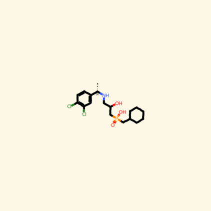 C[C@H](NCC(O)CP(=O)(O)CC1CCCCC1)c1ccc(Cl)c(Cl)c1